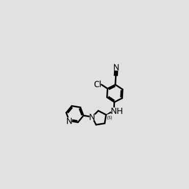 N#Cc1ccc(N[C@H]2CCN(c3cccnc3)C2)cc1Cl